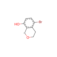 Oc1ccc(Br)c2c1[CH]OCC2